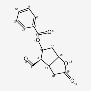 O=C[C@H]1C(OC(=O)c2ccccc2)CC2OC(=O)CC21